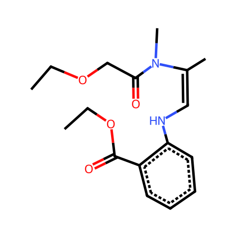 CCOCC(=O)N(C)C(C)=CNc1ccccc1C(=O)OCC